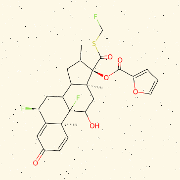 CC1CC2C3C[C@H](F)C4=CC(=O)C=C[C@]4(C)C3(F)C(O)C[C@]2(C)[C@@]1(OC(=O)c1ccco1)C(=O)SCF